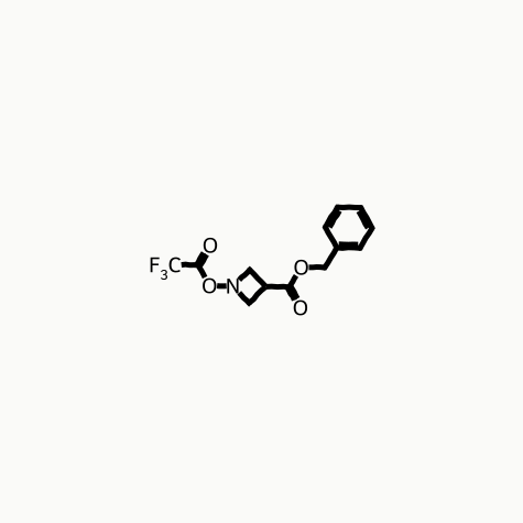 O=C(OCc1ccccc1)C1CN(OC(=O)C(F)(F)F)C1